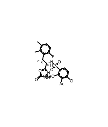 COc1c(S(=O)(=O)N[C@H](c2n[nH]c(=O)o2)[C@H](C)c2c(F)ccc(C)c2C)ccc(Cl)c1C(C)=O